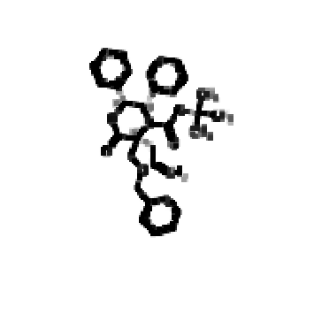 C=CC[C@]1(COCc2ccccc2)C(=O)O[C@H](c2ccccc2)[C@H](c2ccccc2)N1C(=O)OC(C)(C)C